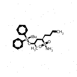 C=CCC[C@H](C[C@@H](C)O[Si](c1ccccc1)(c1ccccc1)C(C)(C)C)S(N)(=O)=O